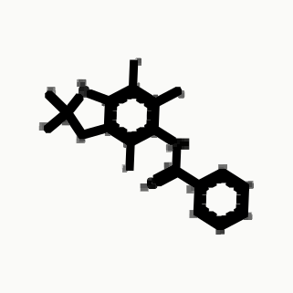 Cc1c(C)c2c(c(C)c1NC(=O)c1ccccc1)CC(C)(C)O2